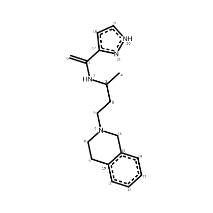 C=C(NC(C)CCN1CCc2ccccc2C1)c1cc[nH]n1